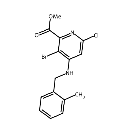 COC(=O)c1nc(Cl)cc(NCc2ccccc2C)c1Br